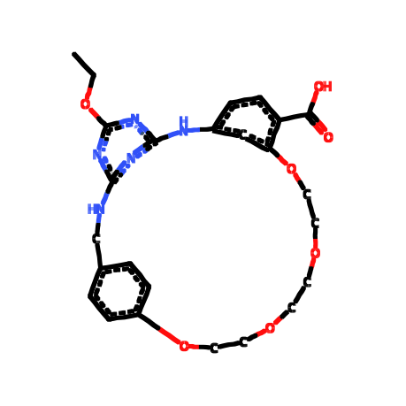 CCOc1nc2nc(n1)Nc1ccc(C(=O)O)c(c1)OCCOCCOCCOc1ccc(cc1)CN2